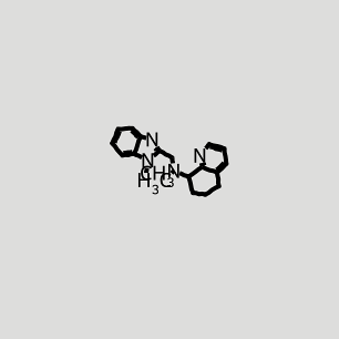 CN(Cc1nc2ccccc2n1C)C1CCCc2cccnc21